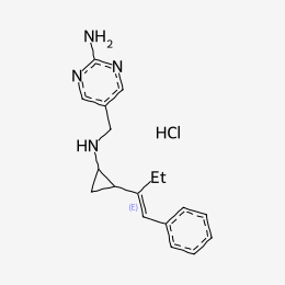 CC/C(=C\c1ccccc1)C1CC1NCc1cnc(N)nc1.Cl